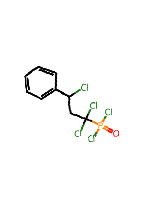 O=P(Cl)(Cl)C(Cl)(Cl)CC(Cl)c1ccccc1